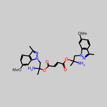 COc1ccc2c(C)nn(CC(C)(N)OC(=O)/C=C/C(=O)OC(C)(N)Cn3nc(C)c4ccc(OC)cc43)c2c1